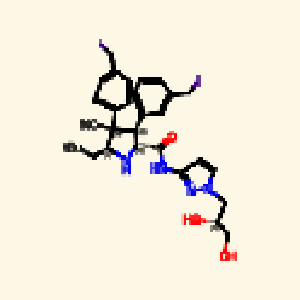 CC(C)(C)C[C@@H]1N[C@@H](C(=O)Nc2ccn(C[C@@H](O)CO)n2)[C@H](c2cccc(CI)c2)[C@@]1(C#N)c1ccc(CI)cc1